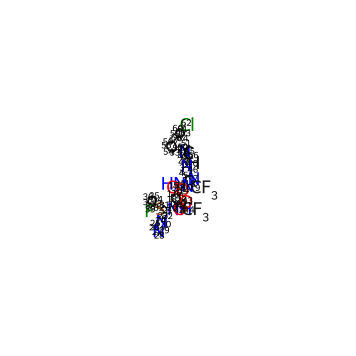 [2H]C1(N2CCc3c(nc(C(F)(F)F)nc3NS(=O)(=O)c3ccc(NC(CCN4CCN(C)CC4)CSc4ccccc4F)c(S(=O)(=O)C(F)(F)F)c3)C2)CCN([C@@H](C)c2ccccc2-c2ccc(Cl)cc2)CC1